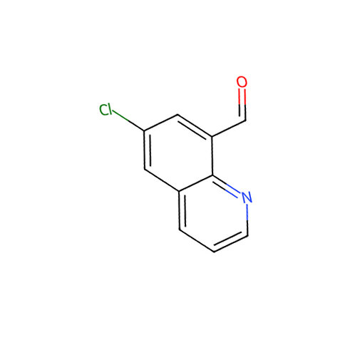 O=Cc1cc(Cl)cc2cccnc12